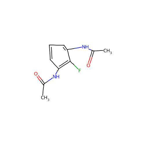 CC(=O)Nc1cccc(NC(C)=O)c1F